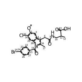 COc1cc2c(CC(=O)NCC(C)C(=O)O)c(C)n(C(=O)c3ccc(Br)cc3)c2cc1Cl